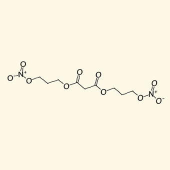 O=C(CC(=O)OCCCO[N+](=O)[O-])OCCCO[N+](=O)[O-]